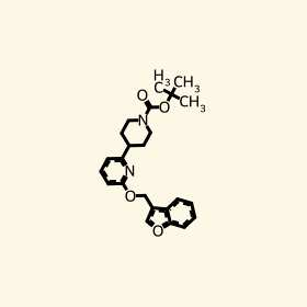 CC(C)(C)OC(=O)N1CCC(c2cccc(OCc3coc4ccccc34)n2)CC1